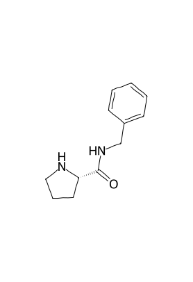 O=C(NCc1ccccc1)[C@@H]1CCCN1